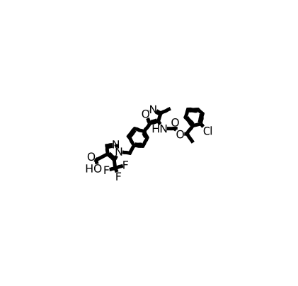 Cc1noc(-c2ccc(Cn3ncc(C(=O)O)c3C(F)(F)F)cc2)c1NC(=O)OC(C)c1ccccc1Cl